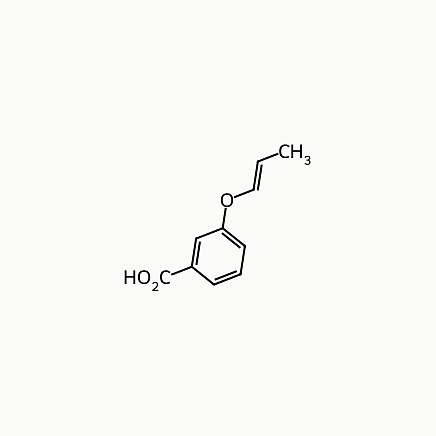 CC=COc1cccc(C(=O)O)c1